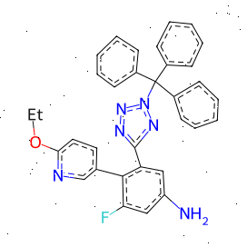 CCOc1ccc(-c2c(F)cc(N)cc2-c2nnn(C(c3ccccc3)(c3ccccc3)c3ccccc3)n2)cn1